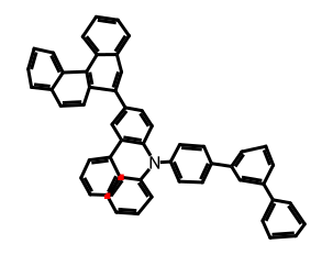 c1ccc(-c2cccc(-c3ccc(N(c4ccccc4)c4ccc(-c5cc6ccccc6c6c5ccc5ccccc56)cc4-c4ccccc4)cc3)c2)cc1